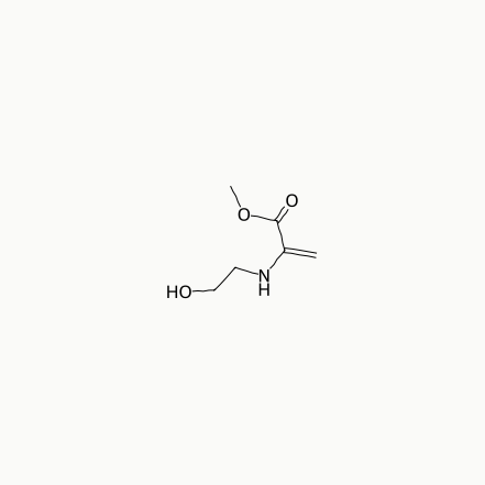 C=C(NCCO)C(=O)OC